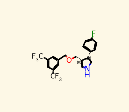 Fc1ccc([C@@H]2CNC[C@@H]2COCc2cc(C(F)(F)F)cc(C(F)(F)F)c2)cc1